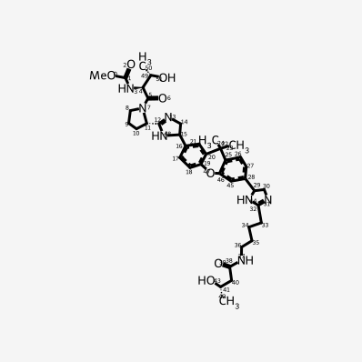 COC(=O)N[C@H](C(=O)N1CCC[C@H]1C1=NCC(c2ccc3c(c2)C(C)(C)c2ccc(C4CN=C(CCCCNC(=O)C[C@H](C)O)N4)cc2O3)N1)[C@H](C)O